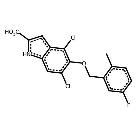 Cc1ccc(F)cc1COc1c(Cl)cc2[nH]c(C(=O)O)cc2c1Cl